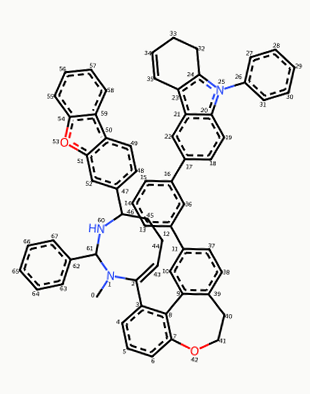 CN1/C(c2cccc3c2-c2cc(-c4cccc(-c5ccc6c(c5)c5c(n6-c6ccccc6)CCC=C5)c4)ccc2CCO3)=C\CCC(c2ccc3c(c2)oc2ccccc23)NC1c1ccccc1